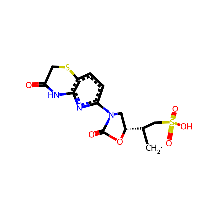 [CH2]C(CS(=O)(=O)O)[C@H]1CN(c2ccc3c(n2)NC(=O)CS3)C(=O)O1